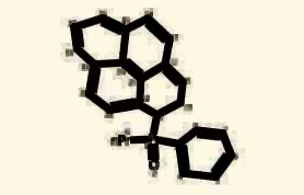 CCCP(=O)(c1ccccc1)C1CC=c2ccc3cccc4ccc1c2c43